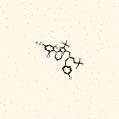 Cc1cc(C)c(N2CCCn3c2nc(C(F)(F)F)c3CN(CCC(F)(F)F)Cc2ccc(Cl)cc2)c(Cl)c1